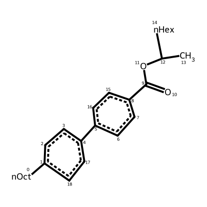 CCCCCCCCc1ccc(-c2ccc(C(=O)OC(C)CCCCCC)cc2)cc1